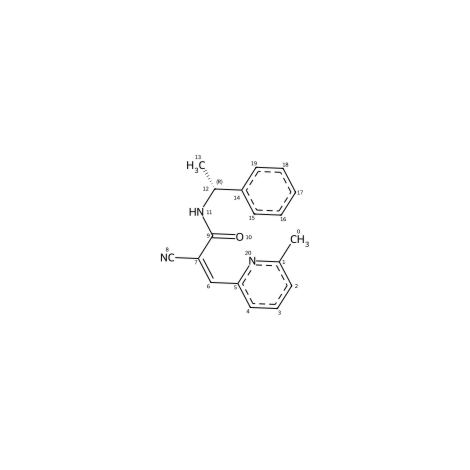 Cc1cccc(C=C(C#N)C(=O)N[C@H](C)c2ccccc2)n1